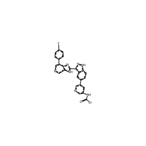 CCC(=O)Nc1cncc(-c2ccc3[nH]nc(-c4nc5c(-c6ccc(F)cc6)cncc5[nH]4)c3c2)c1